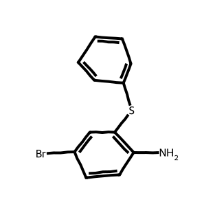 Nc1ccc(Br)cc1Sc1ccccc1